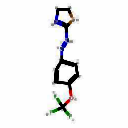 FC(F)(F)Oc1ccc(/N=N/C2=NCCS2)cc1